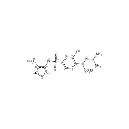 CCOC(=O)N(N=C(N)N)c1ccc(S(=O)(=O)Nc2scnc2C(=O)O)cc1F